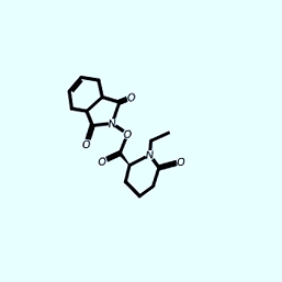 CCN1C(=O)CCC[C@H]1C(=O)ON1C(=O)C2CC=CCC2C1=O